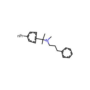 CCCc1ccc(C(C)(C)N(C)CCCc2ccccc2)cc1